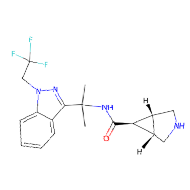 CC(C)(NC(=O)[C@H]1[C@@H]2CNC[C@@H]21)c1nn(CC(F)(F)F)c2ccccc12